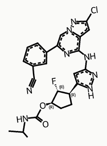 CC(C)NC(=O)O[C@@H]1CC[C@H](c2cc(Nc3nc(-c4cccc(C#N)c4)cn4nc(Cl)cc34)n[nH]2)[C@H]1F